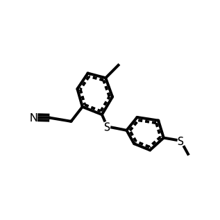 CSc1ccc(Sc2cc(C)ccc2CC#N)cc1